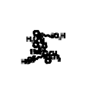 CC1(C)C(/C=C/C2=C(N(c3ccccc3)[S+]([O-])C(C)(C)C)C(=C/C=C3/N(CCCCS(=O)(=O)O)c4ccccc4C3(C)C)/CC2)=[N+](CCCCSOOO)c2ccccc21